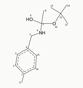 Cc1ccc(CNC(C)(O)OC(C)(C)C)cc1